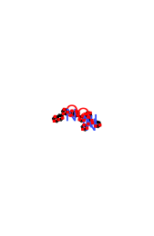 c1ccc(-c2nc(-c3ccccc3)nc(-c3cccc4oc5c(-c6ccc7oc(-c8cccc(-c9ccc%10ccccc%10c9)c8)nc7c6)cccc5c34)n2)cc1